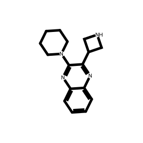 c1ccc2nc(N3CCCCC3)c(C3CNC3)nc2c1